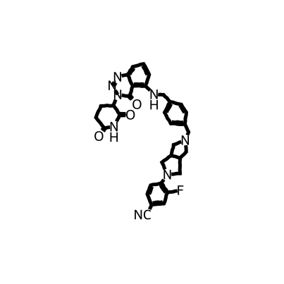 N#Cc1ccc(N2CC3CN(Cc4ccc(CNc5cccc6nnn(C7CCC(=O)NC7=O)c(=O)c56)cc4)CC3C2)c(F)c1